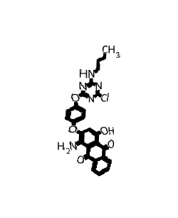 CCCCNc1nc(Cl)nc(Oc2ccc(Oc3cc(O)c4c(c3N)C(=O)c3ccccc3C4=O)cc2)n1